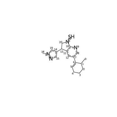 CC1CCCC=C1c1cnc2c(c1)C(c1cnn(C)c1)CN2S